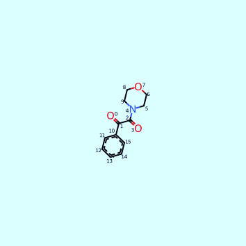 O=C(C(=O)N1CCOCC1)c1cc[c]cc1